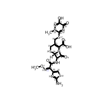 CO/N=C(\C(=O)NC1C(=O)N2C(C(=O)O)=C(CSc3nc(=O)c(O)nn3C)CS[C@@H]12)c1csc(N)n1